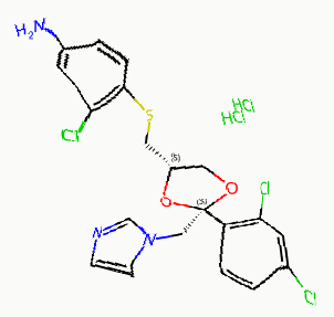 Cl.Cl.Nc1ccc(SC[C@@H]2CO[C@@](Cn3ccnc3)(c3ccc(Cl)cc3Cl)O2)c(Cl)c1